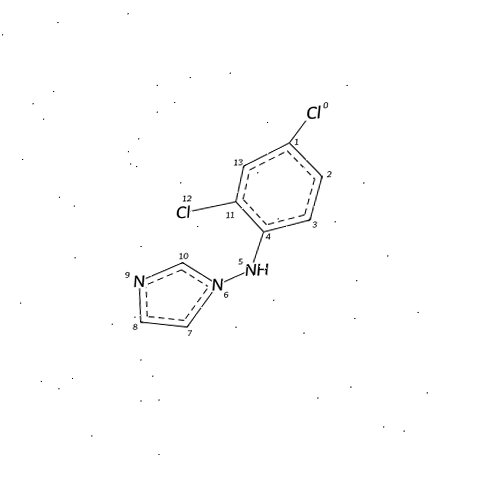 Clc1ccc(Nn2ccnc2)c(Cl)c1